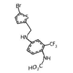 O=C(O)Nc1ccc(NCc2ccc(Br)s2)cc1C(F)(F)F